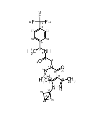 C=NN(CC(=O)N[C@@H](C)c1ccc(C(F)(F)F)cc1)C(=O)c1c(C)nn(C23CC(C2)C3)c1C